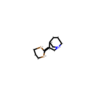 C1CSC(=C2CN3CCCC2C3)SC1